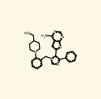 Nc1ncnc2sc(-c3c(-c4ccccc4)ncn3Cc3ccccc3N3CCC(CO)CC3)cc12